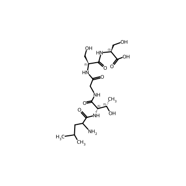 CC(C)CC(N)C(=O)N[C@H](C(=O)NCC(=O)N[C@@H](CO)C(=O)N[C@@H](CO)C(=O)O)[C@H](C)O